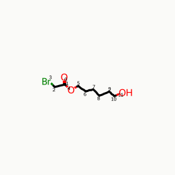 O=C(CBr)OCCCCCCO